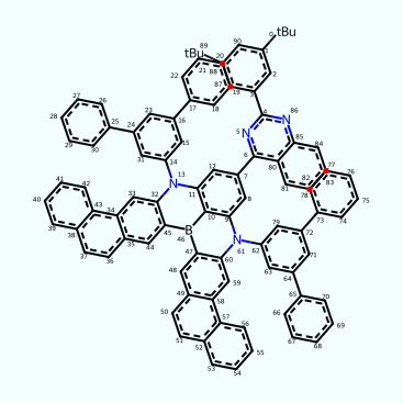 CC(C)(C)c1cc(-c2nc(-c3cc4c5c(c3)N(c3cc(-c6ccccc6)cc(-c6ccccc6)c3)c3cc6c(ccc7ccccc76)cc3B5c3cc5ccc6ccccc6c5cc3N4c3cc(-c4ccccc4)cc(-c4ccccc4)c3)c3ccccc3n2)cc(C(C)(C)C)c1